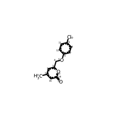 Cc1cc(COc2ccc(Cl)cc2)oc(=O)c1